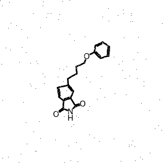 O=C1NC(=O)c2cc(CCCCOc3ccccc3)ccc21